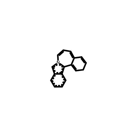 C1=Cn2cc3ccccc3c2C2=CCC=CC2=C1